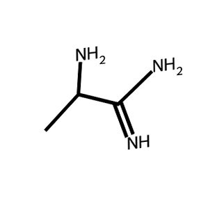 CC(N)C(=N)N